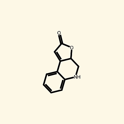 O=C1C=C2c3ccccc3NCC2O1